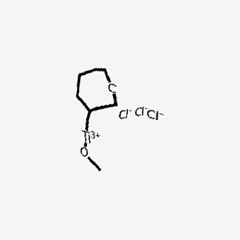 C[O][Ti+3][CH]1CCCCC1.[Cl-].[Cl-].[Cl-]